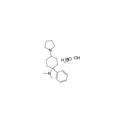 CN(C)C1(c2ccccc2)CCC(N2CCCC2)CC1.Cl.Cl.O